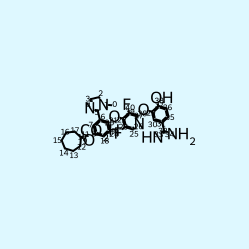 CN1CC=NC1c1cc(OC2(C(=O)O)CCCCCC2)ccc1Oc1c(F)cnc(Oc2cc(C(=N)N)ccc2O)c1F